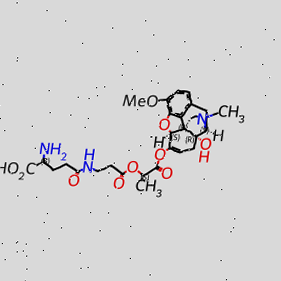 COc1ccc2c3c1O[C@@H]1C(OC(=O)[C@H](C)OC(=O)CCNC(=O)CC[C@H](N)C(=O)O)=CC[C@]4(O)[C@H](C2)N(C)CC[C@@]314